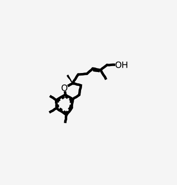 C/C(=C\CC[C@]1(C)CCc2cc(C)c(C)c(C)c2O1)CO